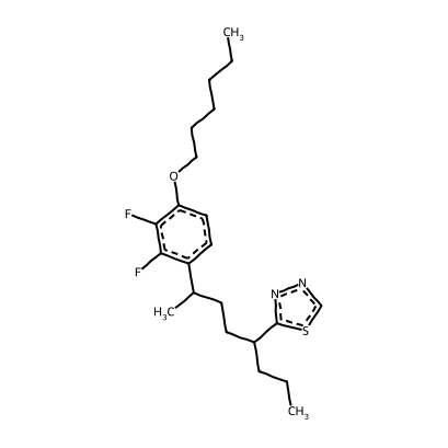 CCCCCCOc1ccc(C(C)CCC(CCC)c2nncs2)c(F)c1F